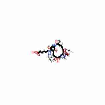 COC1/C=C\C=C(/C)C(=O)NC2=CC(=O)C(NCCCCCC(=O)O)=C(C[C@@H](C)CC(OC)C(O)[C@@H](C)/C=C(\C)C1OC(N)=O)C2=O